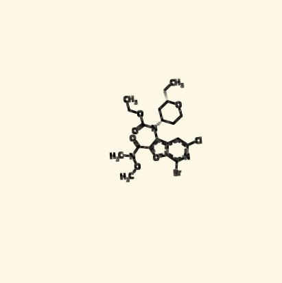 CCOC(=O)N(c1c(C(=O)N(C)OC)oc2c(Br)nc(Cl)cc12)[C@H]1CCO[C@@H](CC)C1